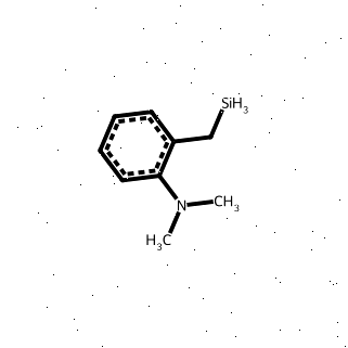 CN(C)c1ccccc1C[SiH3]